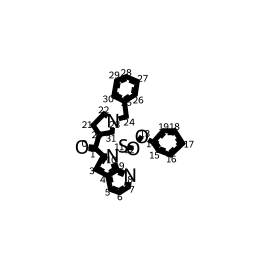 O=C(c1cc2cccnc2n1SOOc1ccccc1)C1CCN(Cc2ccccc2)C1